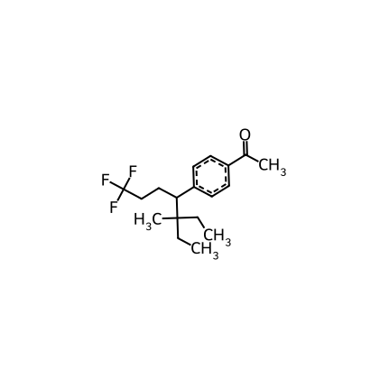 CCC(C)(CC)C(CCC(F)(F)F)c1ccc(C(C)=O)cc1